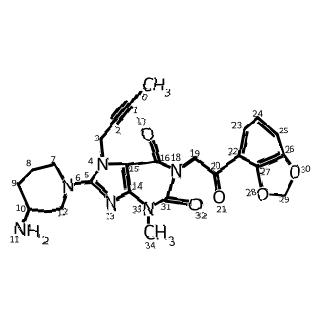 CC#CCn1c(N2CCCC(N)C2)nc2c1c(=O)n(CC(=O)c1cccc3c1OCO3)c(=O)n2C